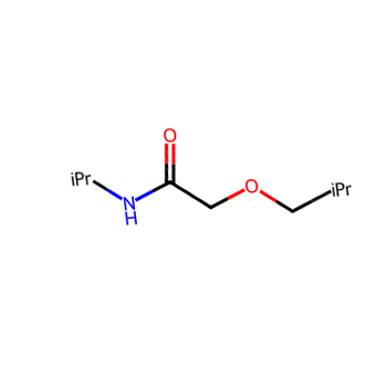 CC(C)COCC(=O)NC(C)C